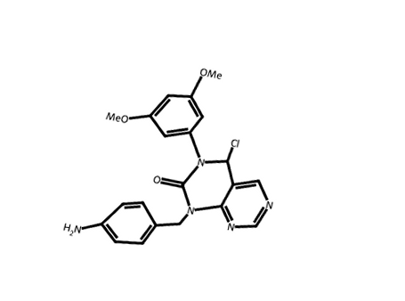 COc1cc(OC)cc(N2C(=O)N(Cc3ccc(N)cc3)c3ncncc3C2Cl)c1